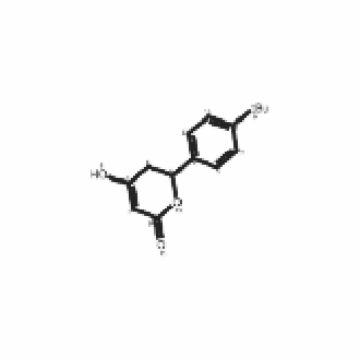 CC(C)(C)c1ccc(C2CC(O)=CC(=O)O2)cc1